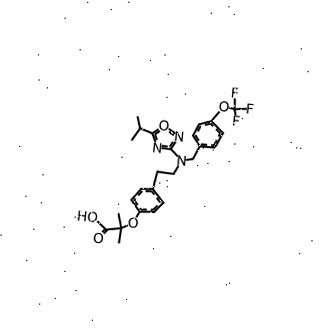 CC(C)c1nc(N(CCc2ccc(OC(C)(C)C(=O)O)cc2)Cc2ccc(OC(F)(F)F)cc2)no1